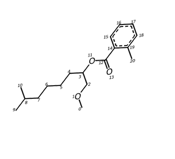 COCC(CCCCC(C)C)OC(=O)c1ccccc1C